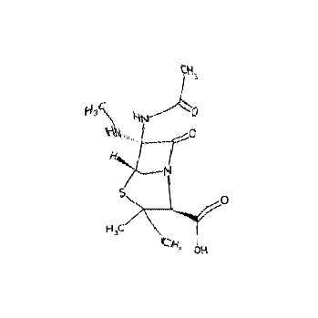 CN[C@]1(NC(C)=O)C(=O)N2[C@@H](C(=O)O)C(C)(C)S[C@@H]21